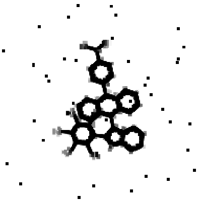 Bc1c(B)c(B)c(-c2oc3ccccc3c2-c2c3ccccc3c(-c3ccc(B(O)O)cc3)c3ccccc23)c(B)c1B